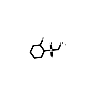 CCS(=O)(=O)C1CCCCC1F